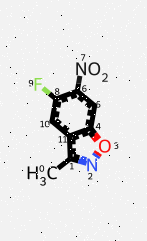 Cc1noc2cc([N+](=O)[O-])c(F)cc12